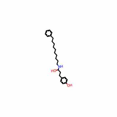 Oc1ccc(CCC(O)NCCCCCCCCCCc2ccccc2)cc1